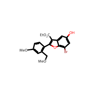 CCOC(=O)c1c(-c2ccc(OC)cc2COC)oc2c(Br)cc(O)cc12